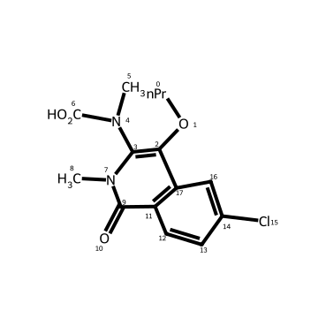 CCCOc1c(N(C)C(=O)O)n(C)c(=O)c2ccc(Cl)cc12